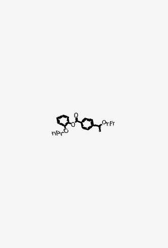 CCCOc1ccccc1OC(=O)c1ccc(C(C)OCCC)cc1